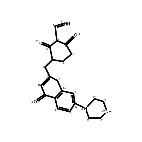 N=CC1C(=O)CCC(CC2=CC(=O)c3ccc(N4CCNCC4)cc3C2)C1=O